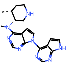 C[C@@H]1CCNC[C@@H]1N(C)c1ncnc2c1ccn2-c1ncnc2[nH]ccc12